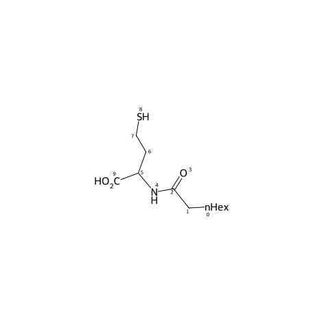 CCCCCCCC(=O)NC(CCS)C(=O)O